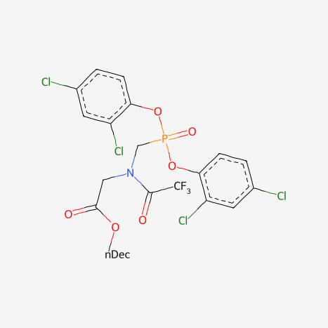 CCCCCCCCCCOC(=O)CN(CP(=O)(Oc1ccc(Cl)cc1Cl)Oc1ccc(Cl)cc1Cl)C(=O)C(F)(F)F